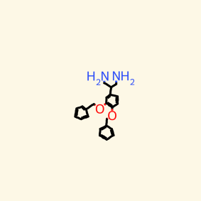 NCC(CN)c1ccc(OCc2ccccc2)c(OCc2ccccc2)c1